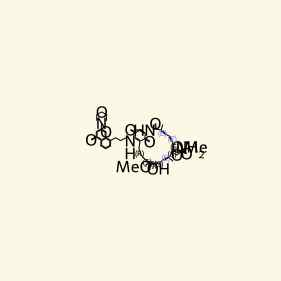 CO[C@H]1/C=C\C=C(/C)C(=O)NC2=CC(=O)C(NCCCc3cccc4c(=O)cc(N5CCOCC5)oc34)=C(C[C@@H](C)C[C@H](OC)[C@H](O)[C@@H](C)/C=C(\C)[C@@H]1OC(N)=O)C2=O